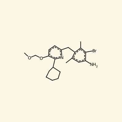 COCOc1ccc(Cc2c(C)cc(N)c(Br)c2C)nc1C1CCCCC1